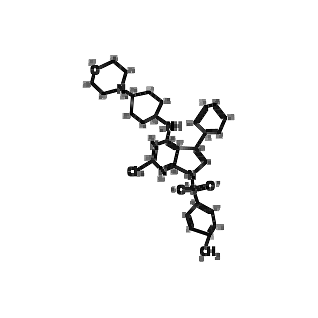 Cc1ccc(S(=O)(=O)n2cc(-c3ccccc3)c3c(NC4CCC(N5CCOCC5)CC4)nc(Cl)nc32)cc1